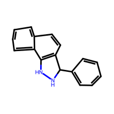 c1ccc(C2NNc3c2ccc2ccccc32)cc1